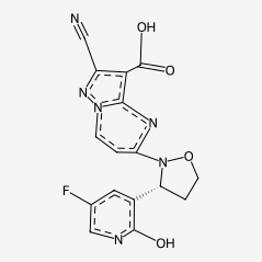 N#Cc1nn2ccc(N3OCC[C@@H]3c3cc(F)cnc3O)nc2c1C(=O)O